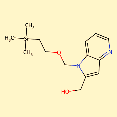 C[Si](C)(C)CCOCn1c(CO)cc2ncccc21